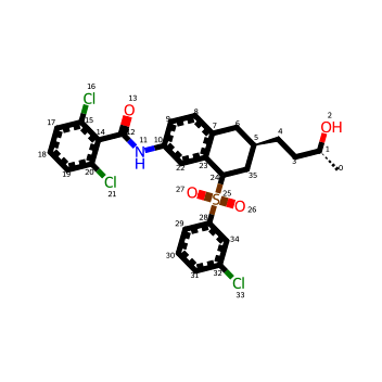 C[C@@H](O)CC[C@@H]1Cc2ccc(NC(=O)c3c(Cl)cccc3Cl)cc2C(S(=O)(=O)c2cccc(Cl)c2)C1